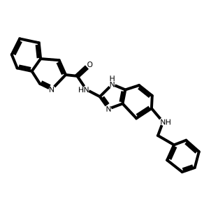 O=C(Nc1nc2cc(NCc3ccccc3)ccc2[nH]1)c1cc2ccccc2cn1